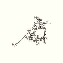 CCCCCCCCCCCCCCCC(=O)NCCOCCOCC(=O)N[C@@H](Cc1c[nH]cn1)C(=O)N[C@@H](CO)C(=O)N[C@@H](CCCC)C(=O)N[C@H]1CC(=O)NCCCC[C@@H](C(N)=O)NC(=O)[C@H](Cc2c[nH]c3ccccc23)NC(=O)[C@H](CCCNC(=N)N)NC(=O)[C@@H](Cc2ccccc2)NC(=O)[C@@H]2C[C@@H](O)CN2C1=O